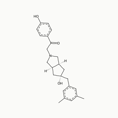 Cc1cc(C)cc(C[C@@]2(O)C[C@H]3CN(CC(=O)c4ccc(O)cc4)C[C@H]3C2)c1